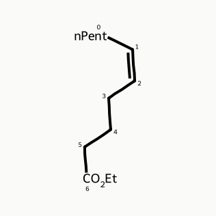 CCCCC/C=C\CCCC(=O)OCC